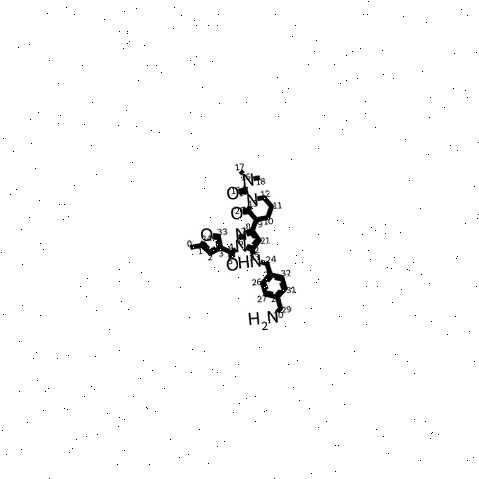 Cc1cc(C(=O)n2nc(C3CCCN(C(=O)N(C)C)C3=O)cc2NCc2ccc(CN)cc2)co1